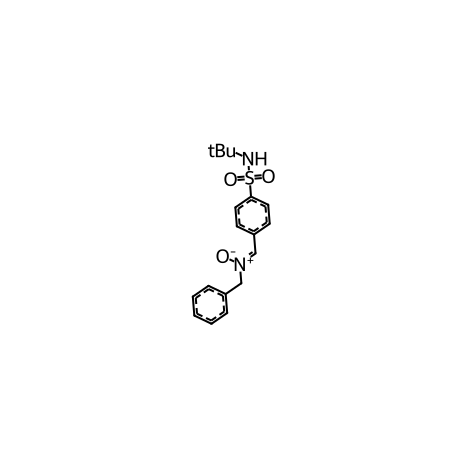 CC(C)(C)NS(=O)(=O)c1ccc(/C=[N+](\[O-])Cc2ccccc2)cc1